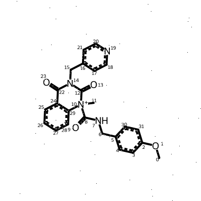 COc1ccc(CNC(=O)[N+]2(C)C(=O)N(Cc3ccncc3)C(=O)c3ccccc32)cc1